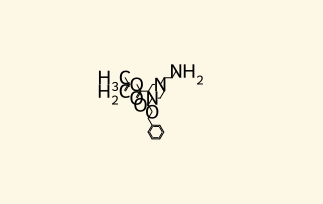 C=C(C)OC(=O)C1CN(CCN)CCN1C(=O)OCc1ccccc1